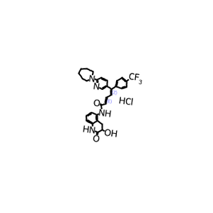 Cl.O=C(/C=C/C=C(/c1ccc(C(F)(F)F)cc1)c1ccc(N2CCCCCC2)nc1)Nc1cccc2c1CC(O)C(=O)N2